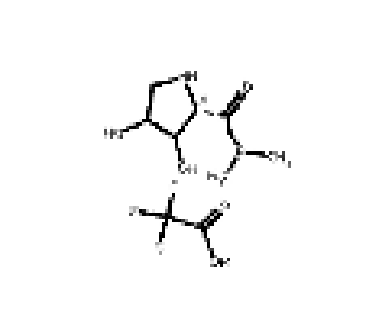 CN(C)C(=O)[C@H]1NCC(O)C1O.O=C(O)C(F)(F)F